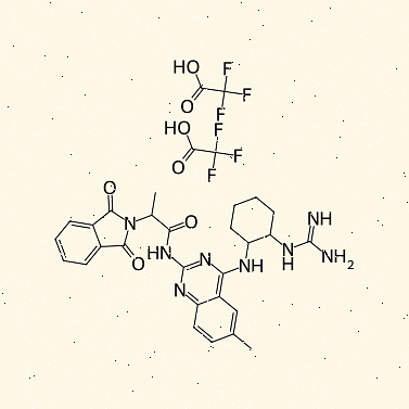 Cc1ccc2nc(NC(=O)C(C)N3C(=O)c4ccccc4C3=O)nc(NC3CCCCC3NC(=N)N)c2c1.O=C(O)C(F)(F)F.O=C(O)C(F)(F)F